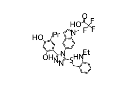 CCNc1ccccc1CSc1nnc(-c2cc(C(C)C)c(O)cc2O)n1-c1ccc2c(ccn2C)c1.O=C(O)C(F)(F)F